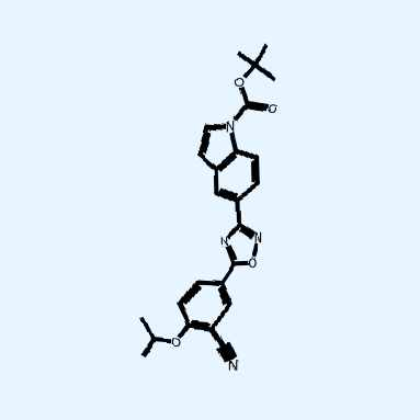 CC(C)Oc1ccc(-c2nc(-c3ccc4c(ccn4C(=O)OC(C)(C)C)c3)no2)cc1C#N